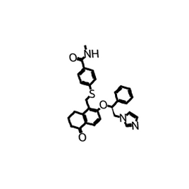 CNC(=O)c1ccc(SCc2c(O[C@H](Cn3ccnc3)c3ccccc3)ccc3c2CCCC3=O)cc1